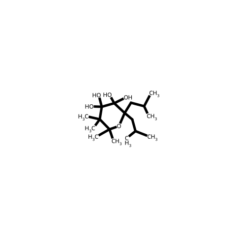 CC(C)CC1(CC(C)C)OC(C)(C)C(C)(C)C(O)(O)C1(O)O